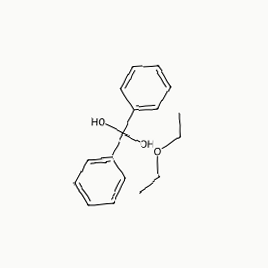 CCOCC.OC(O)(c1ccccc1)c1ccccc1